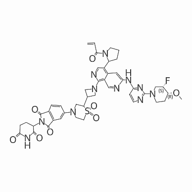 C=CC(=O)N1CCCC1c1cnc(N2CC(C3CN(c4ccc5c(c4)C(=O)N(C4CCC(=O)NC4=O)C5=O)CCS3(=O)=O)C2)c2cnc(Nc3ccnc(N4CC[C@@H](OC)[C@@H](F)C4)n3)cc12